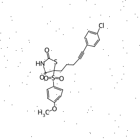 COc1ccc(S(=O)(=O)C2(CCCC#Cc3ccc(Cl)cc3)SC(=O)NC2=O)cc1